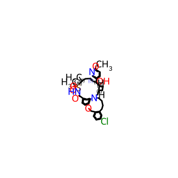 COc1ccc([C@@]2(O)/C=C/C[C@H](C)[C@@H](C)S(=O)(=O)NC(=O)c3ccc4c(c3)N(CCCCc3cc(Cl)ccc3CO4)C[C@@H]3CC[C@H]32)cn1